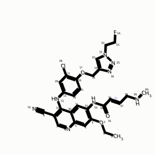 CCOc1cc2ncc(C#N)c(Nc3ccc(OCc4cn(CCF)nn4)c(Cl)c3)c2cc1NC(=O)/C=C/CNC